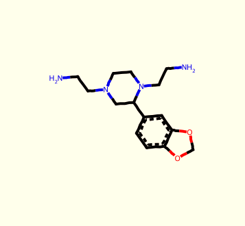 NCCN1CCN(CCN)C(c2ccc3c(c2)OCO3)C1